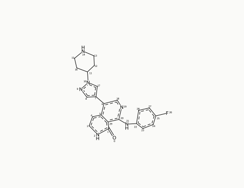 O=c1[nH]ccc2c(-c3cnn(C4CCNCC4)c3)cnc(Nc3ccc(F)cc3)c12